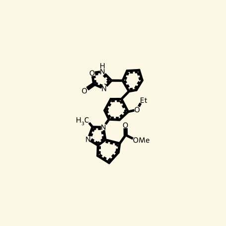 CCOc1cc(-n2c(C)nc3cccc(C(=O)OC)c32)ccc1-c1ccccc1-c1nc(=O)o[nH]1